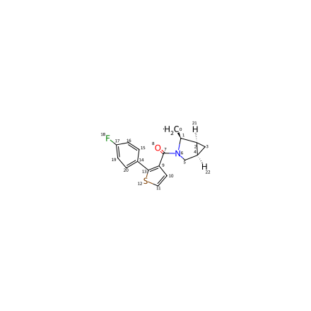 [CH2][C@H]1[C@H]2C[C@H]2CN1C(=O)c1ccsc1-c1ccc(F)cc1